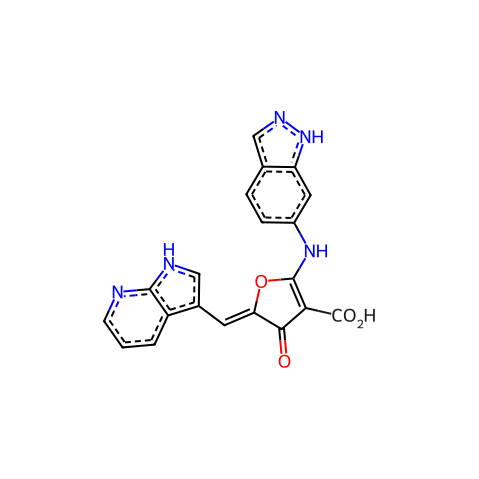 O=C(O)C1=C(Nc2ccc3cn[nH]c3c2)O/C(=C\c2c[nH]c3ncccc23)C1=O